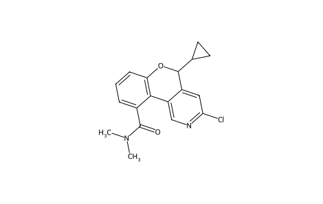 CN(C)C(=O)c1cccc2c1-c1cnc(Cl)cc1C(C1CC1)O2